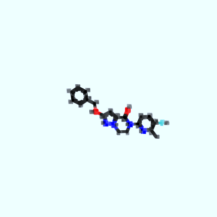 Cc1nc(N2CCn3nc(OCc4ccccc4)cc3C2=O)ccc1F